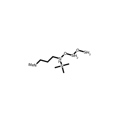 CNCCC[SiH](O[SiH2]O[SiH3])[Si](C)(C)C